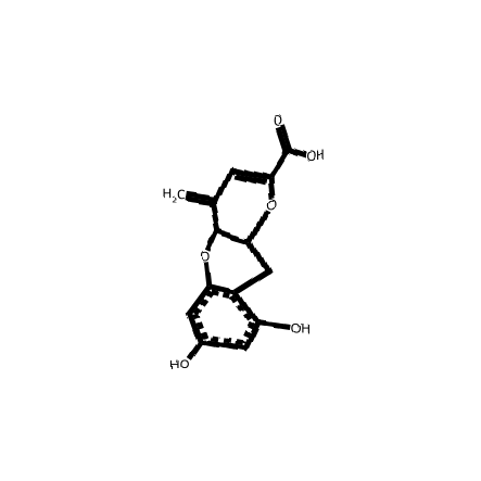 C=C1C=C(C(=O)O)OC2Cc3c(O)cc(O)cc3OC12